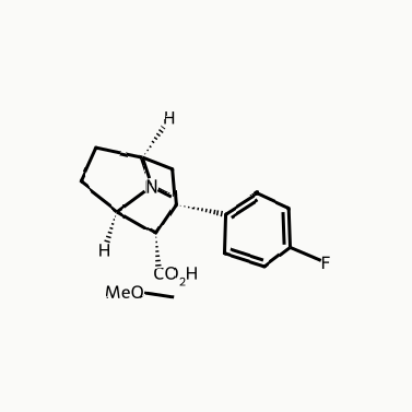 CN1[C@H]2CC[C@@H]1[C@@H](C(=O)O)[C@@H](c1ccc(F)cc1)C2.COC